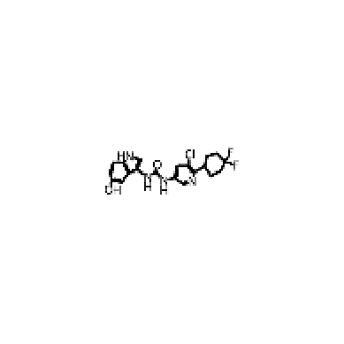 O=C(Nc1cnc(C2CCC(F)(F)CC2)c(Cl)c1)Nc1c[nH]c2ccc(O)cc12